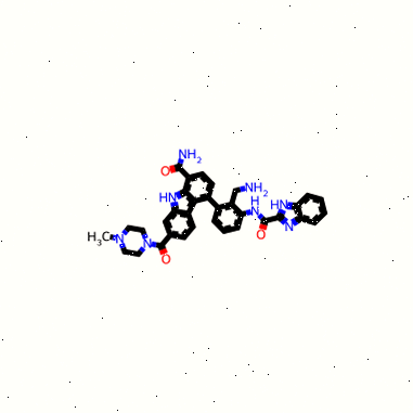 CN1CCN(C(=O)c2ccc3c(c2)[nH]c2c(C(N)=O)ccc(-c4cccc(NC(=O)c5nc6ccccc6[nH]5)c4CN)c23)CC1